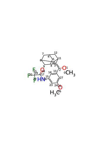 COC(=C1C2CC3CC(C2)CC1C3)c1cc(NC(=O)C(F)(F)F)cc(OC)c1